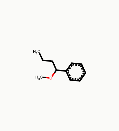 CCCC(OC)c1ccccc1